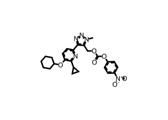 Cn1nnc(-c2ccc(OC3CCCCC3)c(C3CC3)n2)c1COC(=O)Oc1ccc([N+](=O)[O-])cc1